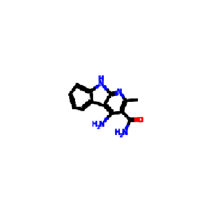 Cc1nc2[nH]c3ccccc3c2c(N)c1C(N)=O